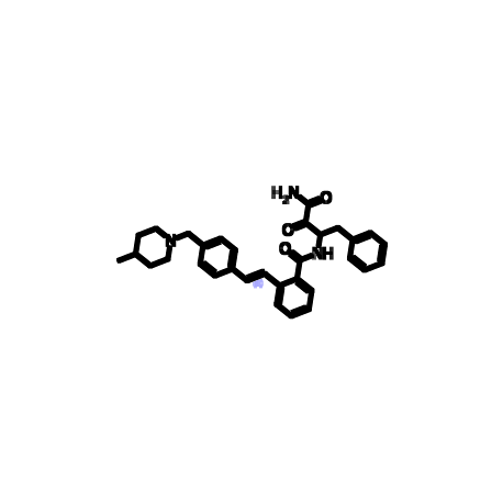 CC1CCN(Cc2ccc(/C=C/c3ccccc3C(=O)NC(Cc3ccccc3)C(=O)C(N)=O)cc2)CC1